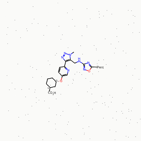 CCCC(C)c1nc(NCc2c(-c3ccc(O[C@H]4CCC[C@H](C(=O)O)C4)cn3)nnn2C)no1